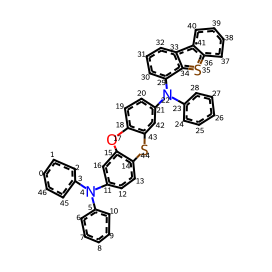 c1ccc(N(c2ccccc2)c2ccc3c(c2)Oc2ccc(N(c4ccccc4)c4cccc5c4sc4ccccc45)cc2S3)cc1